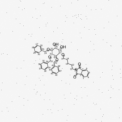 O=C1c2ccccc2C(=O)N1CCCCCO[C@H]1[C@@H](O)[C@@H](O)[C@H](OCc2ccccc2)[C@@H](OCc2ccccc2)[C@@H]1OCc1ccccc1